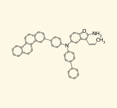 C/C=C\c1c(N)oc2ccc(N(c3ccc(-c4ccccc4)cc3)c3ccc(-c4ccc5ccc6c7ccccc7ccc6c5c4)cc3)cc12